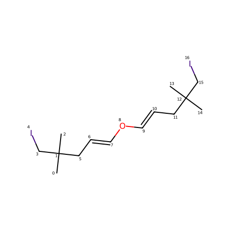 CC(C)(CI)CC=COC=CCC(C)(C)CI